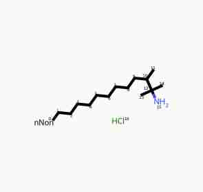 CCCCCCCCCCCCCCCCCCC(C)C(C)(C)N.Cl